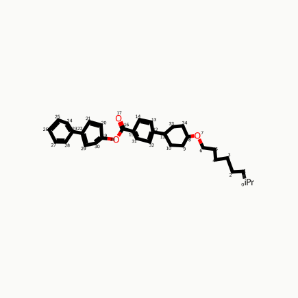 CC(C)CCCCCCOC1CCC(c2ccc(C(=O)Oc3ccc(-c4ccccc4)cc3)cc2)CC1